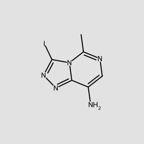 Cc1ncc(N)c2nnc(I)n12